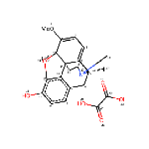 COC1=CC=C2[C@H]3Cc4ccc(O)c5c4[C@@]2(CCN3C)[C@H]1O5.O=C(O)C(=O)O